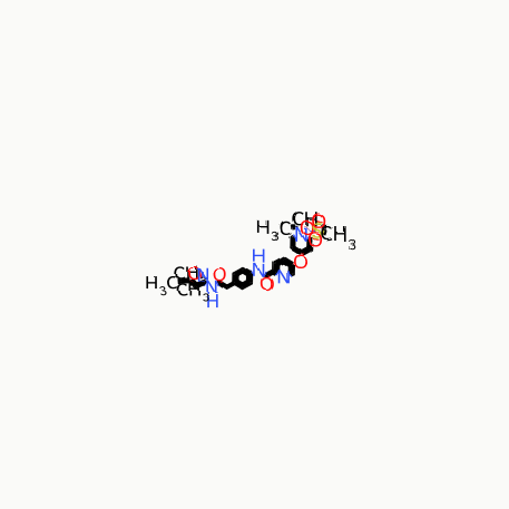 CC(C)[N+]1(OS(C)(=O)=O)CCC(Oc2ccc(C(=O)Nc3ccc(CC(=O)Nc4cc(C(C)(C)C)on4)cc3)nc2)CC1